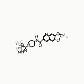 COc1cc2ncc(C(=O)NC3CCN(C4=NNNN4C)CC3)cc2cc1Cl